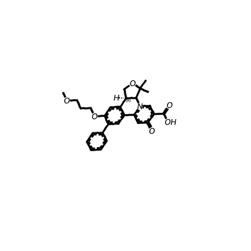 COCCCOc1cc2c(cc1-c1ccccc1)-c1cc(=O)c(C(=O)O)cn1C1[C@@H]2COC1(C)C